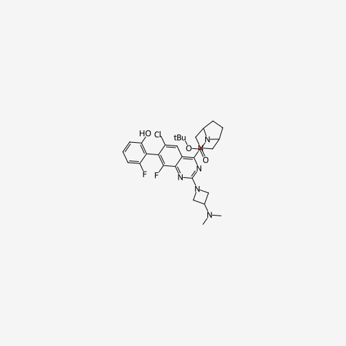 CN(C)C1CN(c2nc(N3CC4CCC(C3)N4C(=O)OC(C)(C)C)c3cc(Cl)c(-c4c(O)cccc4F)c(F)c3n2)C1